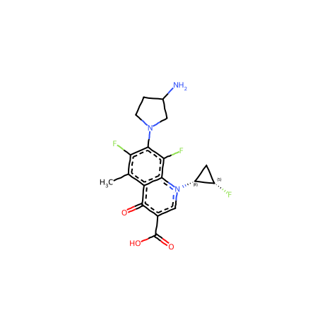 Cc1c(F)c(N2CCC(N)C2)c(F)c2c1c(=O)c(C(=O)O)cn2[C@@H]1C[C@@H]1F